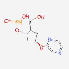 O=[PH](O)O[C@H]1C[C@H](Oc2cnccn2)C[C@@H]1CO